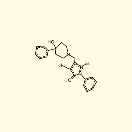 CCn1c(CN2CCC(O)(c3ccccc3)CC2)c(Cl)c(=O)n1-c1ccccc1